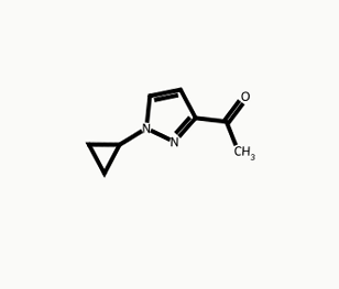 CC(=O)c1ccn(C2CC2)n1